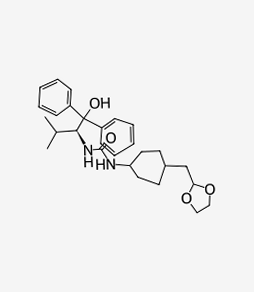 CC(C)[C@H](NC(=O)NC1CCC(CC2OCCO2)CC1)C(O)(c1ccccc1)c1ccccc1